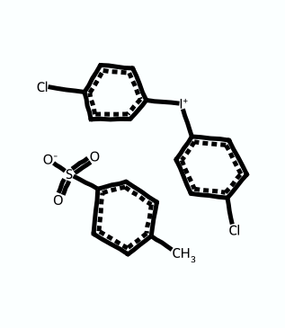 Cc1ccc(S(=O)(=O)[O-])cc1.Clc1ccc([I+]c2ccc(Cl)cc2)cc1